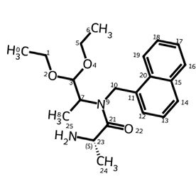 CCOC(OCC)C(C)N(Cc1cccc2ccccc12)C(=O)[C@H](C)N